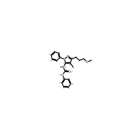 COCCCc1nn(-c2ccccc2)c(NC(=O)Oc2ccccc2)c1C